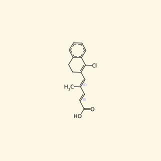 CC(/C=C/C(=O)O)=C\C1=C(Cl)c2ccccc2CC1